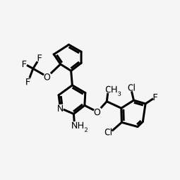 CC(Oc1cc(-c2ccccc2OC(F)(F)F)cnc1N)c1c(Cl)ccc(F)c1Cl